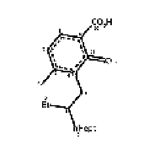 CCCCCCCC(CC)Cn1c(C)ccc(C(=O)O)c1=O